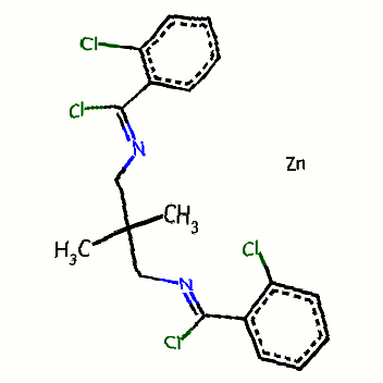 CC(C)(CN=C(Cl)c1ccccc1Cl)CN=C(Cl)c1ccccc1Cl.[Zn]